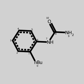 CCCCc1ccc[c]c1NC(N)=O